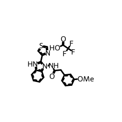 COc1cccc(CC(=O)N[n+]2c(-c3cscn3)[nH]c3ccccc32)c1.O=C(O)C(F)(F)F